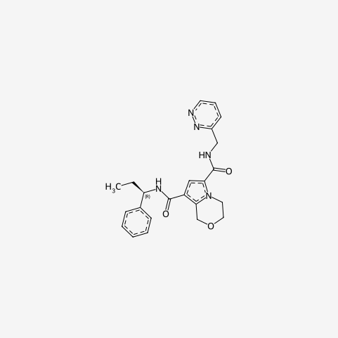 CC[C@@H](NC(=O)c1cc(C(=O)NCc2cccnn2)n2c1COCC2)c1ccccc1